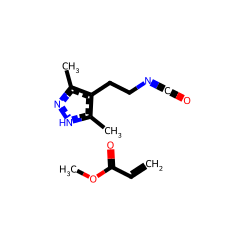 C=CC(=O)OC.Cc1n[nH]c(C)c1CCN=C=O